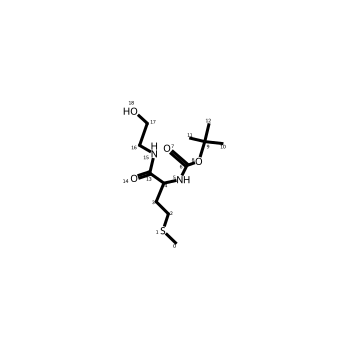 CSCCC(NC(=O)OC(C)(C)C)C(=O)NCCO